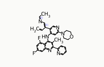 C=C/C(=C\N=C/C)c1cnc(N2CCOCC2)cc1Nc1c(C)c(-c2ccccn2)nc2cc(F)cc(F)c12